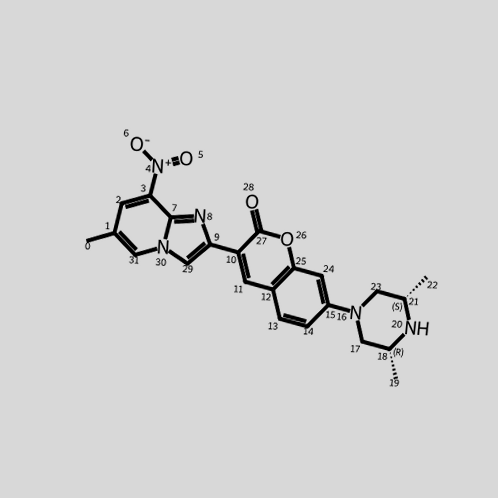 Cc1cc([N+](=O)[O-])c2nc(-c3cc4ccc(N5C[C@@H](C)N[C@@H](C)C5)cc4oc3=O)cn2c1